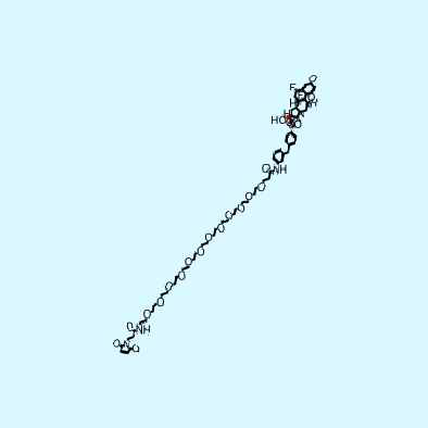 C[C@]12C[C@@H]3O[C@]45C=CC(=O)C=C4[C@@H](F)C[C@@H](C1C[C@H]1O[C@@H](c4ccc(Cc6cccc(NC(=O)CCOCCOCCOCCOCCOCCOCCOCCOCCOCCOCCOCCOCCNC(=O)CCN7C(=O)C=CC7=O)c6)cc4)O[C@]12C(=O)CO)[C@]35F